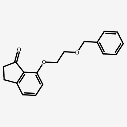 O=C1CCc2cccc(OCCOCc3ccccc3)c21